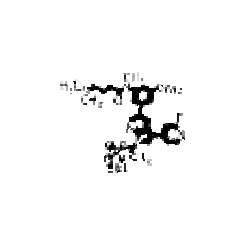 CCOP(=O)(OCC)OC(C)n1cc(-c2ccnc(F)c2)c2cc(-c3cc(OC)cc(N(C)C(=O)C=CCN(C)C)c3)cnc21